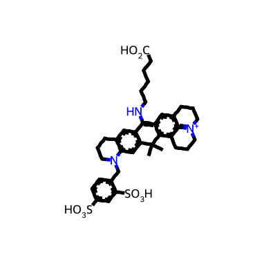 CC1(C)c2cc3c(cc2C(NCCCCCC(=O)O)=c2cc4c5c(c21)CCC[N+]=5CCC4)CCCN3Cc1ccc(S(=O)(=O)O)cc1S(=O)(=O)O